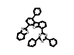 c1ccc(-c2nc(-c3ccccc3)nc(-c3cccc4c3oc3c(-c5nc6ccccc6s5)ccc(-c5ccccc5)c34)n2)cc1